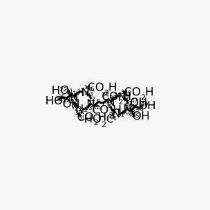 O=C(O)CN1CCN(C(CCC(C(=O)O)N2CCN(CC(=O)O)CCN(C(CO)C(O)CO)CCN(CC(=O)O)CC2)C(=O)O)CCN(CC(=O)O)CCN(C(CO)C(O)CO)CC1